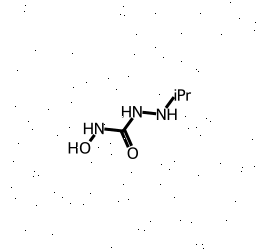 CC(C)NNC(=O)NO